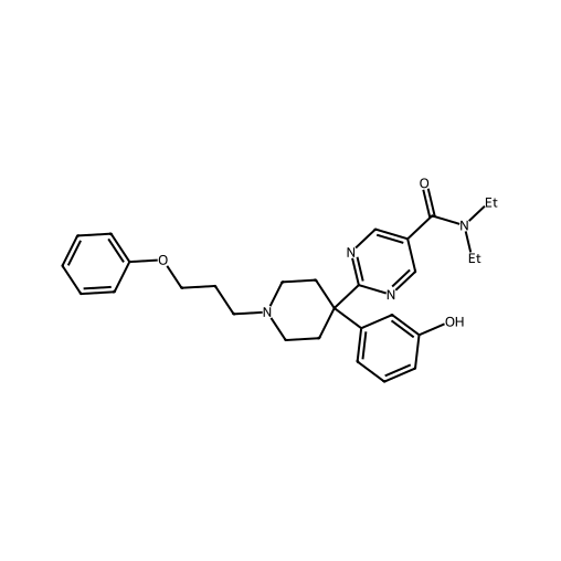 CCN(CC)C(=O)c1cnc(C2(c3cccc(O)c3)CCN(CCCOc3ccccc3)CC2)nc1